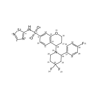 O=S(=O)(Nc1ncns1)c1ccc2c(c1)OCCC2N1CCC(F)(F)CC1c1ccc(F)cc1